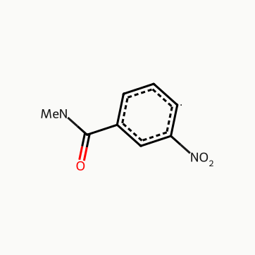 CNC(=O)c1cc[c]c([N+](=O)[O-])c1